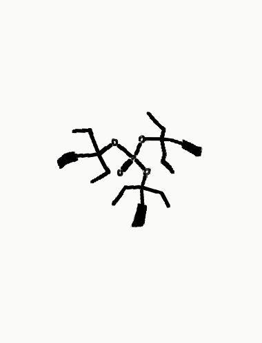 C#CC(CC)(CC)OP(=O)(OC(C#C)(CC)CC)OC(C#C)(CC)CC